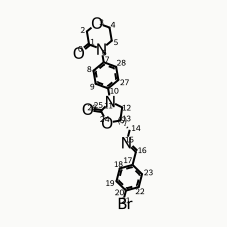 O=C1COCCN1c1ccc(N2C[C@H](CN=Cc3ccc(Br)cc3)OC2=O)cc1